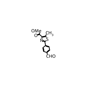 COC(=O)c1nc(-c2ccc(C=O)cc2)sc1C